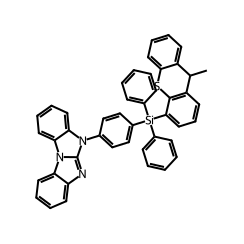 CC1c2ccccc2Sc2c1cccc2[Si](c1ccccc1)(c1ccccc1)c1ccc(-n2c3ccccc3n3c4ccccc4nc23)cc1